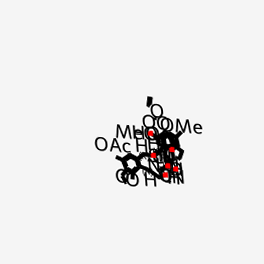 C=COC(=O)Oc1cc2c(cc1OC)[C@@]1(CS[C@@H]3c4c(OC(C)=O)c(C)c5c(c4[C@H](COC1=O)N1C3[C@@H]3c4c(cc(C)c(OC)c4O)C[C@H]([C@@H]1C#N)N3C)OCO5)NCC2